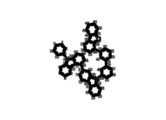 c1ccc(-n2c3ccccc3c3c(-c4ccc5c6ccccc6n(-c6cccc(-c7cccc(-c8cccc9c8oc8ccccc89)c7)c6)c5c4)cccc32)cc1